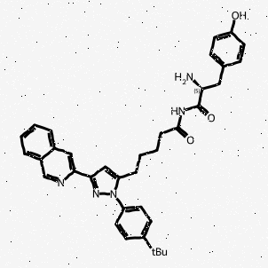 CC(C)(C)c1ccc(-n2nc(-c3cc4ccccc4cn3)cc2CCCCC(=O)NC(=O)[C@@H](N)Cc2ccc(O)cc2)cc1